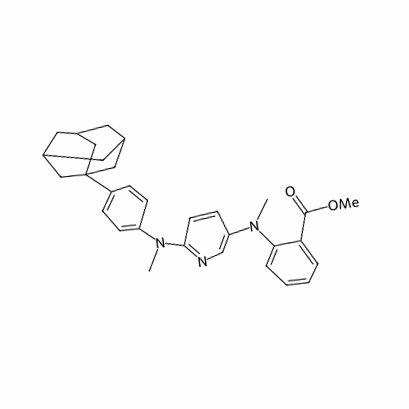 COC(=O)c1ccccc1N(C)c1ccc(N(C)c2ccc(C34CC5CC(CC(C5)C3)C4)cc2)nc1